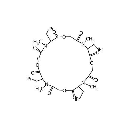 CC(C)CC1C(=O)OCC(=O)N(C)C(CC(C)C)C(=O)OCC(=O)N(C)C(CC(C)C)C(=O)OCC(=O)N(C)C(CC(C)C)C(=O)OCC(=O)N1C